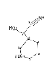 N#CC(O)C1CCCNC1